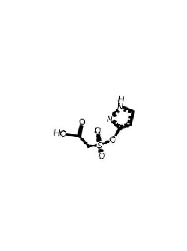 O=C(O)CS(=O)(=O)Oc1cc[nH]n1